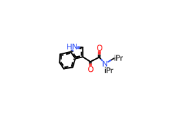 CC(C)N(C(=O)C(=O)c1c[nH]c2ccccc12)C(C)C